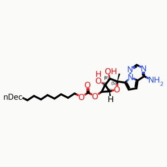 CCCCCCCCCCCCCCCCCCOC(=O)OC1[C@H]2O[C@@](C)(c3ccc4c(N)ncnn34)[C@H](O)[C@@]12O